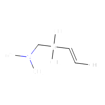 CC=C[Si](C)(C)CN(C)CCC